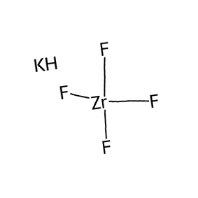 [F][Zr]([F])([F])[F].[KH]